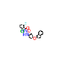 O=C(NC(=O)c1c(F)cccc1Cl)Nc1ccc(Oc2ccc3ccccc3c2)cc1